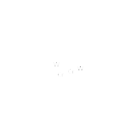 [Cr].[Cr].[W].[W]